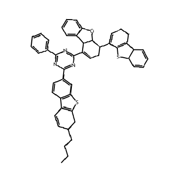 CCCCC1C=Cc2c(sc3cc(-c4nc(C5=CCC(C6=CCCC7=C6SC6C=CC=CC76)C6Oc7ccccc7C56)nc(-c5ccccc5)n4)ccc23)C1